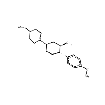 CCCCCC1CCC(C2CC[C@@H](c3ccc(OCCC)cc3)[C@H](C)C2)CC1